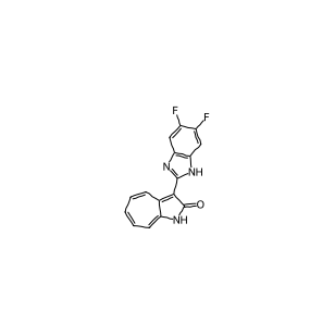 O=c1[nH]c2cccccc-2c1-c1nc2cc(F)c(F)cc2[nH]1